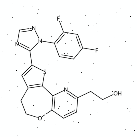 OCCc1ccc2c(n1)-c1sc(-c3ncnn3-c3ccc(F)cc3F)cc1CCO2